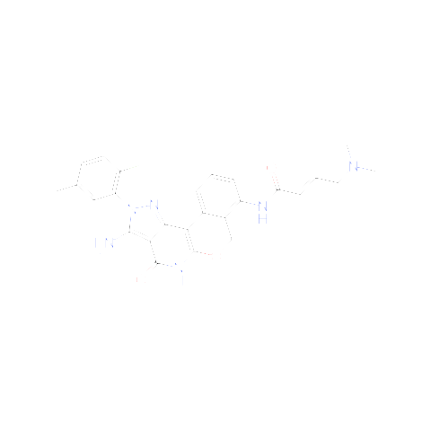 Cc1ccc(F)c(-n2nc3c4c([nH]c(=O)c3c2N)OCc2c(NC(=O)/C=C/CN(C)C)cccc2-4)c1